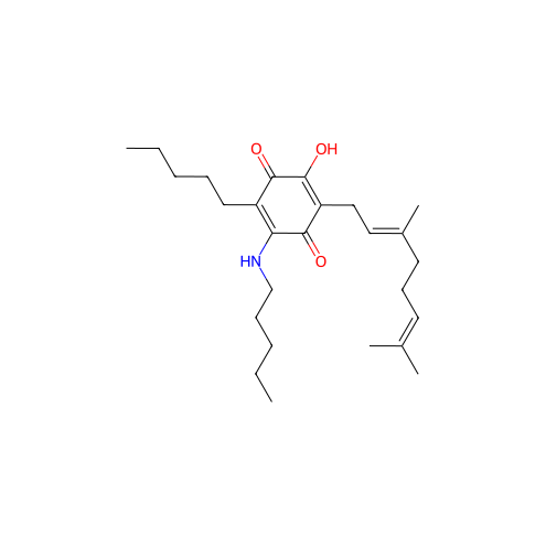 CCCCCNC1=C(CCCCC)C(=O)C(O)=C(C/C=C(\C)CCC=C(C)C)C1=O